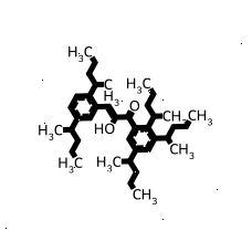 CCCC(C)c1ccc(C(C)CCC)c(C=C(O)C(=O)c2cc(C(C)CCC)cc(C(C)CCC)c2C(C)CCC)c1